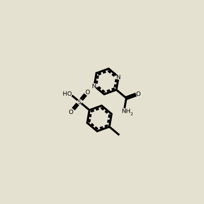 Cc1ccc(S(=O)(=O)O)cc1.NC(=O)c1cnccn1